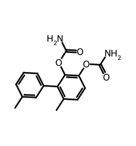 Cc1cccc(-c2c(C)ccc(OC(N)=O)c2OC(N)=O)c1